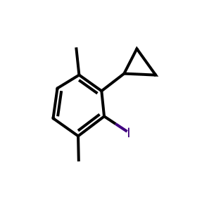 Cc1ccc(C)c(C2CC2)c1I